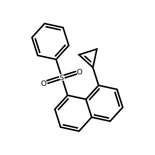 O=S(=O)(c1ccccc1)c1cccc2cccc(C3=CC3)c12